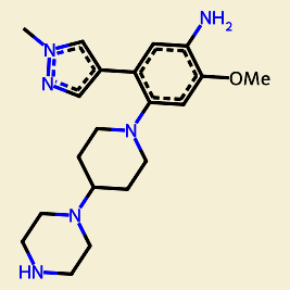 COc1cc(N2CCC(N3CCNCC3)CC2)c(-c2cnn(C)c2)cc1N